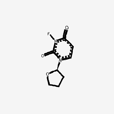 O=c1ccn([C@H]2CCCO2)c(=O)n1F